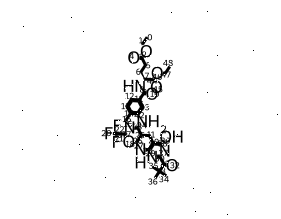 CCOC(=O)CC[C@H](NC(=O)c1ccc(CN(C(=O)C(F)(F)F)C(N)C2CNc3nc(C(=O)C(C)(C)C)nc(O)c3C2)cc1)C(=O)OCC